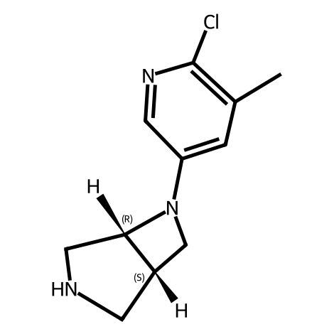 Cc1cc(N2C[C@@H]3CNC[C@@H]32)cnc1Cl